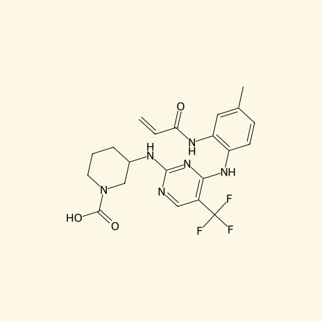 C=CC(=O)Nc1cc(C)ccc1Nc1nc(NC2CCCN(C(=O)O)C2)ncc1C(F)(F)F